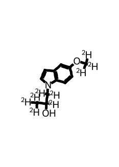 [2H]C([2H])([2H])Oc1ccc2c(ccn2C([2H])([2H])[C@]([2H])(O)C([2H])([2H])[2H])c1